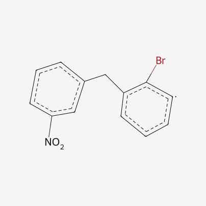 O=[N+]([O-])c1cccc(Cc2ccc[c]c2Br)c1